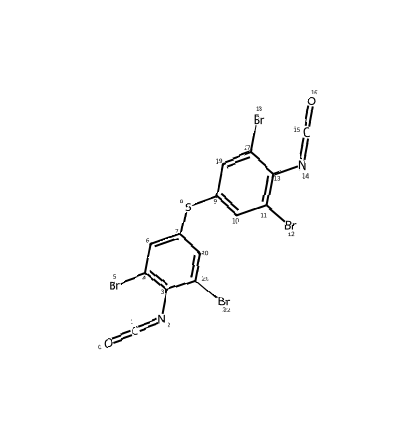 O=C=Nc1c(Br)cc(Sc2cc(Br)c(N=C=O)c(Br)c2)cc1Br